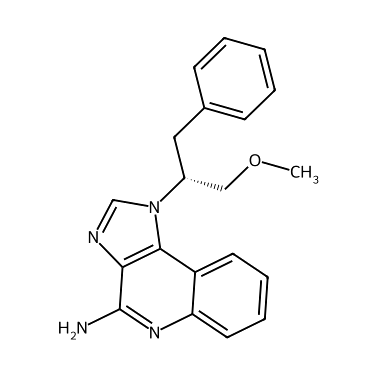 COC[C@@H](Cc1ccccc1)n1cnc2c(N)nc3ccccc3c21